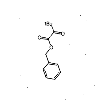 CC(C)(C)C(=O)C(=O)OCc1ccccc1